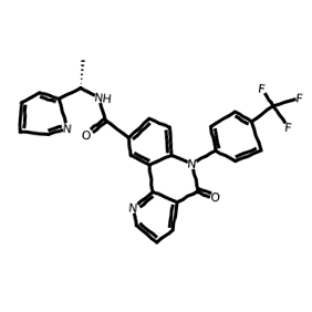 C[C@H](NC(=O)c1ccc2c(c1)c1ncccc1c(=O)n2-c1ccc(C(F)(F)F)cc1)c1ccccn1